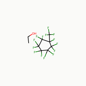 CCO.FC(F)(F)C1(F)C(F)(F)C(F)(F)C(F)(F)C(F)(F)C1(F)F